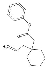 C=CCC1(CC(=O)Oc2ccccc2)CCCCC1